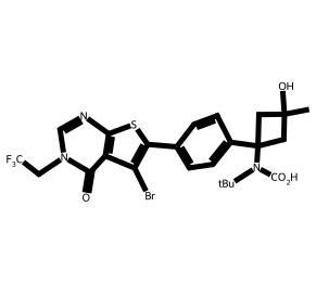 CC1(O)CC(c2ccc(-c3sc4ncn(CC(F)(F)F)c(=O)c4c3Br)cc2)(N(C(=O)O)C(C)(C)C)C1